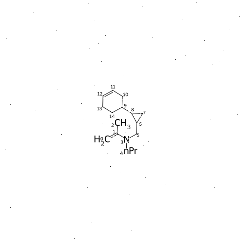 C=C(C)N(CCC)CC1CC1C1CC=CCC1